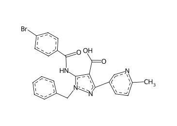 Cc1ccc(-c2nn(Cc3ccccc3)c(NC(=O)c3ccc(Br)cc3)c2C(=O)O)cn1